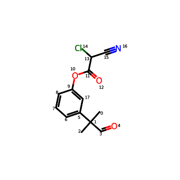 CC(C)(C=O)c1cccc(OC(=O)C(Cl)C#N)c1